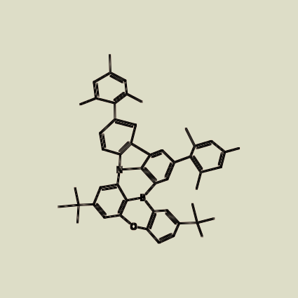 Cc1cc(C)c(-c2ccc3c(c2)c2cc(-c4c(C)cc(C)cc4C)cc4c2n3-c2cc(C(C)(C)C)cc3c2B4c2cc(C(C)(C)C)ccc2O3)c(C)c1